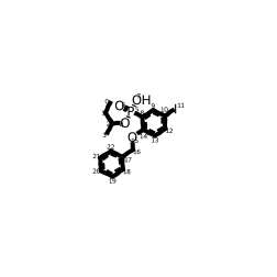 CCC(C)OP(=O)(O)c1cc(I)ccc1OCc1ccccc1